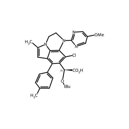 COc1cnc(N2CCn3c(C)cc4c(-c5ccc(C)cc5)c([C@H](OC(C)(C)C)C(=O)O)c(Cl)c2c43)nc1